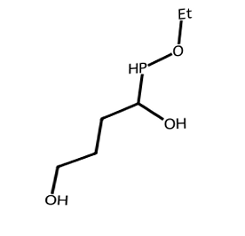 CCOPC(O)CCCO